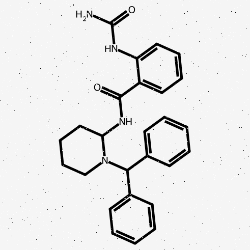 NC(=O)Nc1ccccc1C(=O)NC1CCCCN1C(c1ccccc1)c1ccccc1